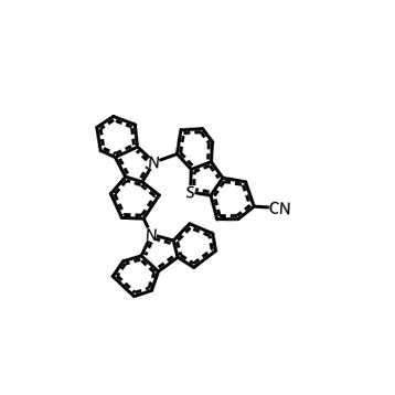 N#Cc1ccc2sc3c(-n4c5ccccc5c5ccc(-n6c7ccccc7c7ccccc76)cc54)cccc3c2c1